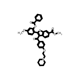 COC(=O)c1ccc2c(C(=O)c3ccc(OCCN4CCCCC4)cc3)c(-c3ccc(OC)cc3OC(=O)c3ccccc3)sc2c1